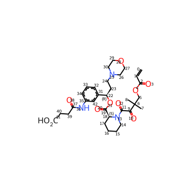 C=CC(=O)OCC(C)(C)C(=O)C(=O)N1CCCC[C@H]1C(=O)O[C@H](CCN1CCOCC1)c1cccc(NC(=O)CCC(=O)O)c1